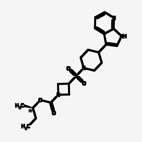 CC[C@H](C)OC(=O)N1CC(S(=O)(=O)N2CCC(c3c[nH]c4ncccc34)CC2)C1